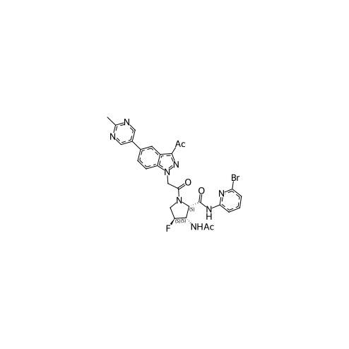 CC(=O)N[C@H]1[C@@H](C(=O)Nc2cccc(Br)n2)N(C(=O)Cn2nc(C(C)=O)c3cc(-c4cnc(C)nc4)ccc32)C[C@@H]1F